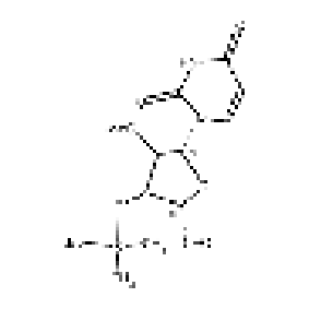 COC1C(O[Si](C)(C)C(C)(C)C)[C@@H](C=O)O[C@H]1n1ccc(=O)[nH]c1=O